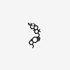 C=CC1(C)CCC2C(C)(CCC3C(C)(C)C(CC4=C5CCC6(C)CCCC(CC)C6CC(CC4)C5(C)C)CCC23C)O1